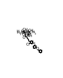 CC(C)(C)OC(=O)NC(CCCc1ccc(Sc2cccc(OCc3ccccc3)c2)cc1Cl)C(=O)CO[Si](C)(C)C(C)(C)C